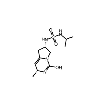 CC(C)NS(=O)(=O)N[C@H]1CC2=C[C@H](C)N=C(O)N2C1